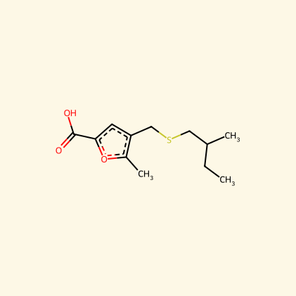 CCC(C)CSCc1cc(C(=O)O)oc1C